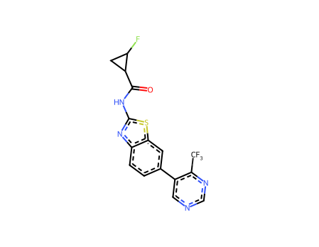 O=C(Nc1nc2ccc(-c3cncnc3C(F)(F)F)cc2s1)C1CC1F